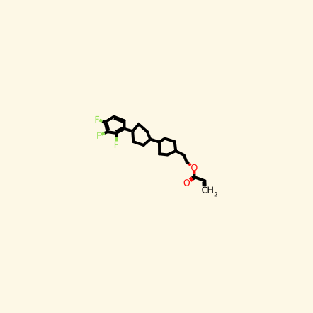 C=CC(=O)OCCC1CCC(C2CCC(c3ccc(F)c(F)c3F)CC2)CC1